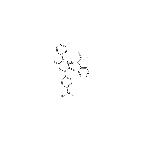 CC[S+]([O-])c1ccc(N(OC(=O)Oc2ccccc2)C(=O)NC)cc1.O=C(Cl)Oc1ccccc1